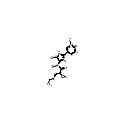 CCN(C(=O)C(C)CSCC(F)(F)F)c1sc(-c2ccc[n+]([O-])c2)nc1Cl